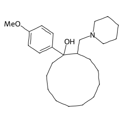 COc1ccc(C2(O)CCCCCCCCCCC2CN2CCCCC2)cc1